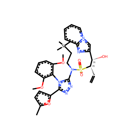 C=C[C@@H]([C@@H](O)c1cn2ccccc2n1)S(=O)(=O)N(CC[Si](C)(C)C)c1nnc(-c2ccc(C)o2)n1-c1c(OC)cccc1OC